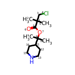 CC(C)(CCl)C(=O)OC(C)(C)C1CCNCC1